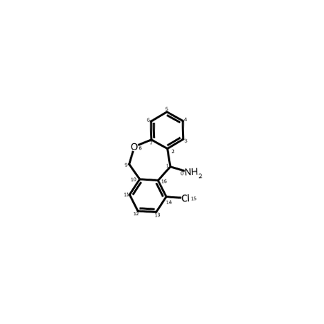 NC1c2ccccc2OCc2cccc(Cl)c21